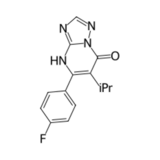 CC(C)c1c(-c2ccc(F)cc2)[nH]c2ncnn2c1=O